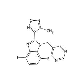 Cc1nonc1-c1nc2c(F)ccc(F)c2n1Cc1cncnc1